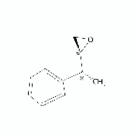 C[C@H](c1ccccc1)[C@H]1CO1